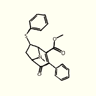 COC(=O)C1=C(c2ccccc2)C(=O)C2CC(Sc3ccccc3)C1N2C